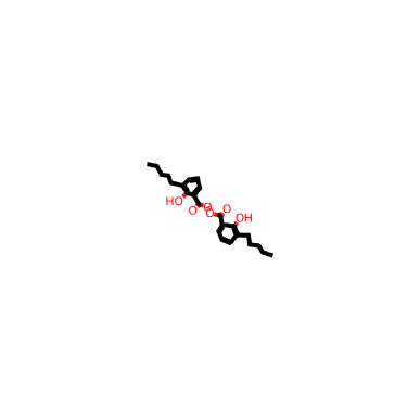 CCCCCc1cccc(C(=O)OOC(=O)c2cccc(CCCCC)c2O)c1O